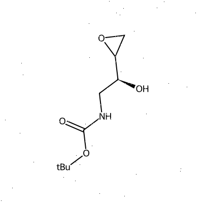 CC(C)(C)OC(=O)NC[C@H](O)C1CO1